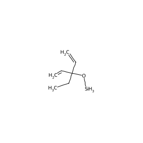 C=CC(C=C)(CC)O[SiH3]